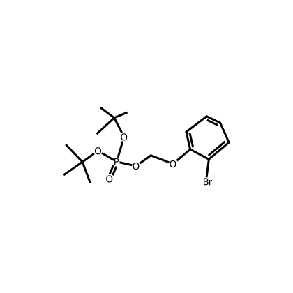 CC(C)(C)OP(=O)(OCOc1ccccc1Br)OC(C)(C)C